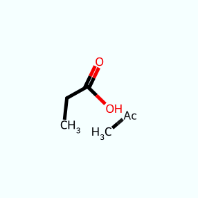 CC(C)=O.CCC(=O)O